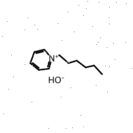 CCCCCC[n+]1ccccc1.[OH-]